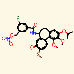 COc1c(OC(C)C)cc2c(c1OC)-c1ccc(SC)c(=O)cc1C(NC(=O)c1cc(F)cc(CO[N+](=O)[O-])c1)CC2